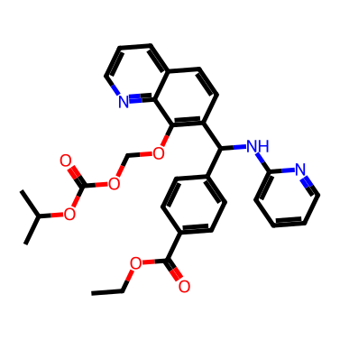 CCOC(=O)c1ccc(C(Nc2ccccn2)c2ccc3cccnc3c2OCOC(=O)OC(C)C)cc1